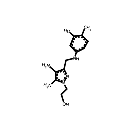 Cc1ccc(NCc2nn(CCO)c(N)c2N)cc1O